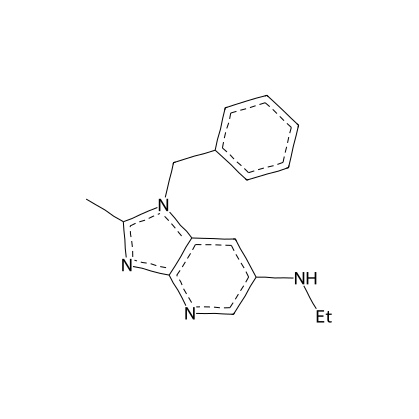 CCNc1cnc2nc(C)n(Cc3ccccc3)c2c1